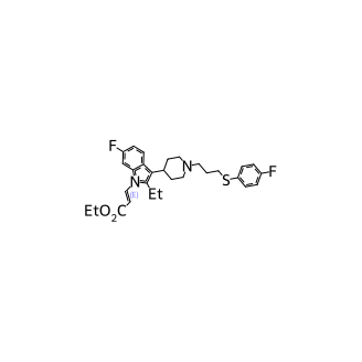 CCOC(=O)/C=C/n1c(CC)c(C2CCN(CCCSc3ccc(F)cc3)CC2)c2ccc(F)cc21